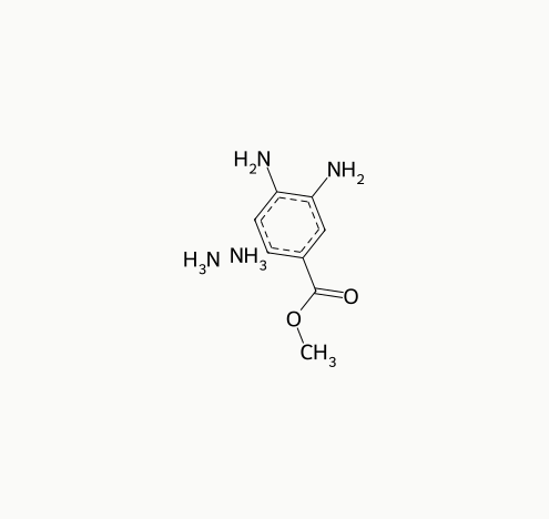 COC(=O)c1ccc(N)c(N)c1.N.N